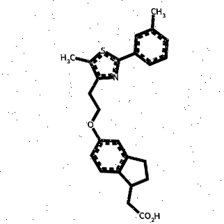 Cc1cccc(-c2nc(CCOc3ccc4c(c3)CCC4CC(=O)O)c(C)s2)c1